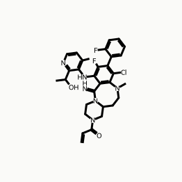 C=CC(=O)N1CCN2C(=N)c3c(Nc4c(C)ccnc4C(C)O)c(F)c(-c4ccccc4F)c(Cl)c3N(C)CCC2C1